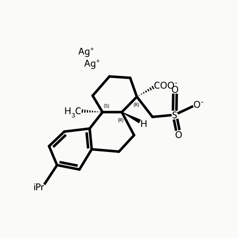 CC(C)c1ccc2c(c1)CC[C@H]1[C@@](CS(=O)(=O)[O-])(C(=O)[O-])CCC[C@]21C.[Ag+].[Ag+]